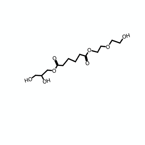 O=C(CCCCC(=O)OCC(O)CO)OCCOCCO